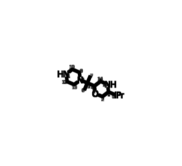 CC(C)C1COC(C(C)(C)N2CCNCC2)CN1